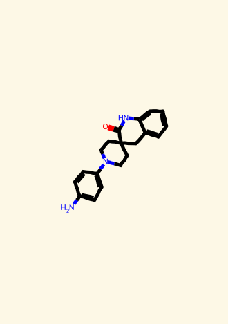 Nc1ccc(N2CCC3(CC2)Cc2ccccc2NC3=O)cc1